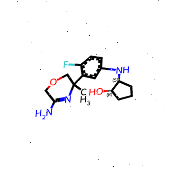 CC1(c2cc(N[C@H]3CCC[C@H]3O)ccc2F)COCC(N)=N1